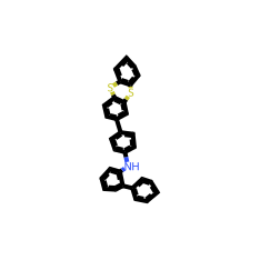 c1ccc(-c2ccccc2Nc2ccc(-c3ccc4c(c3)Sc3ccccc3S4)cc2)cc1